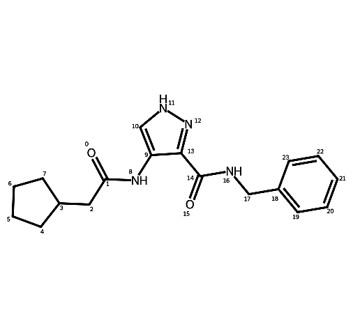 O=C(CC1CCCC1)Nc1c[nH]nc1C(=O)NCc1ccccc1